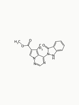 COC(=O)c1cn2ncnc(-n3[nH]c4ccccc4c3=O)c2c1C